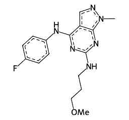 COCCCNc1nc(Nc2ccc(F)cc2)c2cnn(C)c2n1